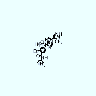 CCc1cc(Nc2nccn3c(-c4c[nH]nc4C(F)(F)F)cnc23)ccc1C(=O)N[C@@H](C)CN.O=CO